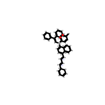 Cc1ccc(N(C=C(c2ccccc2)c2ccccc2)c2ccc(/C=C/C=C/C3C=CC=CC3)c3ccccc23)cc1